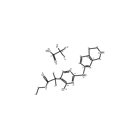 CCOC(=O)C(C)(C)c1cnc(Nc2ccc3c(c2)CNCC3)nc1Cl.O=C(O)C(F)(F)F